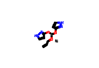 C=CCOB(Oc1cc[nH]n1)Oc1cc[nH]n1.[Ni]